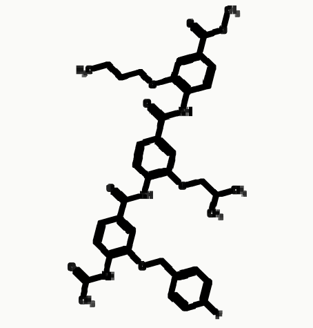 CCCCOc1cc(C(=O)OC)ccc1NC(=O)c1ccc(NC(=O)c2ccc(NC(C)=O)c(OCc3ccc(F)cc3)c2)c(OCC(C)C)c1